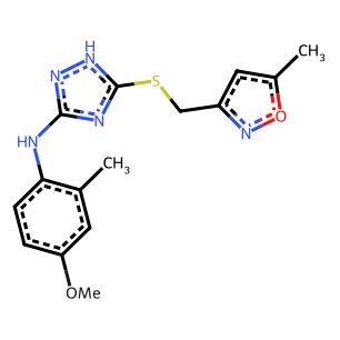 COc1ccc(Nc2n[nH]c(SCc3cc(C)on3)n2)c(C)c1